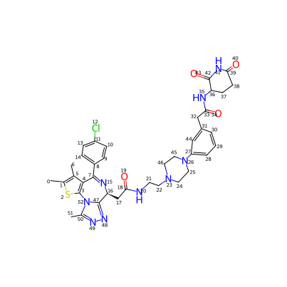 Cc1sc2c(c1C)C(c1ccc(Cl)cc1)=N[C@@H](CC(=O)NCCN1CCN(c3cccc(CC(=O)NC4CCC(=O)NC4=O)c3)CC1)c1nnc(C)n1-2